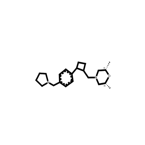 C[C@@H]1CN(CC2CCC2c2ccc(CN3CCCC3)cc2)C[C@H](C)O1